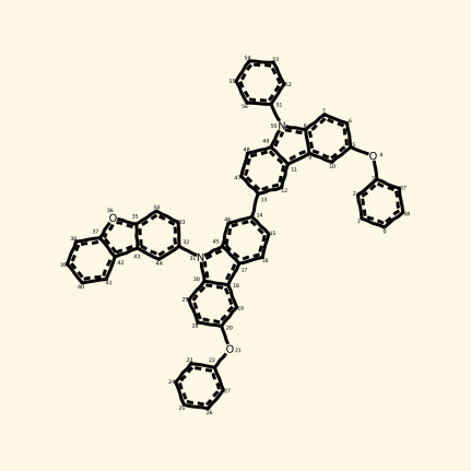 c1ccc(Oc2ccc3c(c2)c2cc(-c4ccc5c6cc(Oc7ccccc7)ccc6n(-c6ccc7oc8ccccc8c7c6)c5c4)ccc2n3-c2ccccc2)cc1